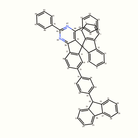 C1=CC2=C(CC1)C1(c3ccccc32)c2cc(-c3ccc(C4c5ccccc5-c5ccccc54)cc3)ccc2-c2nc(-c3ccccc3)nc(-c3ccccc3)c21